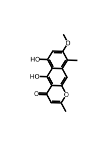 COc1cc(O)c2c(O)c3c(=O)cc(C)oc3cc2c1C